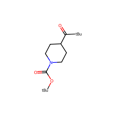 CC(C)(C)OC(=O)N1CCC(C(=O)C(C)(C)C)CC1